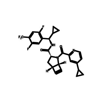 O=C(N[C@@H](c1cc(F)c(C(F)(F)F)cc1F)C1CC1)[C@H]1C[C@H]2C#C[C@H]2N1C(=O)c1cc(C2CC2)ccn1